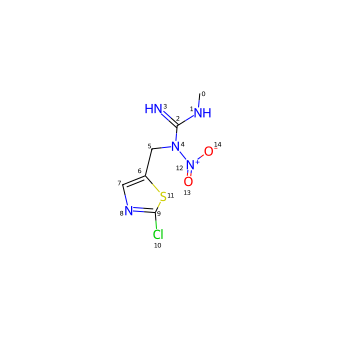 CNC(=N)N(Cc1cnc(Cl)s1)[N+](=O)[O-]